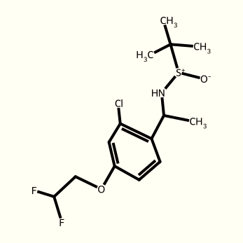 CC(N[S+]([O-])C(C)(C)C)c1ccc(OCC(F)F)cc1Cl